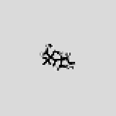 CCC(=O)C1(C(=O)O)NCC(C(=O)O)(C(C)(C)C)C1C